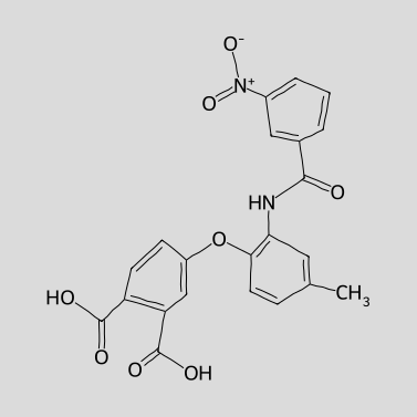 Cc1ccc(Oc2ccc(C(=O)O)c(C(=O)O)c2)c(NC(=O)c2cccc([N+](=O)[O-])c2)c1